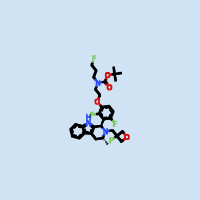 C[C@@H]1Cc2c([nH]c3ccccc23)[C@@H](c2c(F)ccc(OCCN(CCCF)C(=O)OC(C)(C)C)c2F)N1CC1(F)COC1